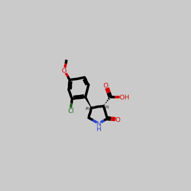 COc1ccc([C@@H]2CNC(=O)[C@H]2C(=O)O)c(Cl)c1